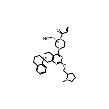 C=CC(=O)N1CCN(c2nc(OCC3CCCN3C)nc3c2CC[C@]2(CCCc4ccccc42)C3)C[C@@H]1CC#N